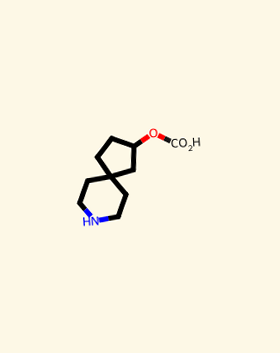 O=C(O)OC1CCC2(CCNCC2)C1